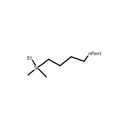 [CH2]C[Si](C)(C)CCCCCCCCC